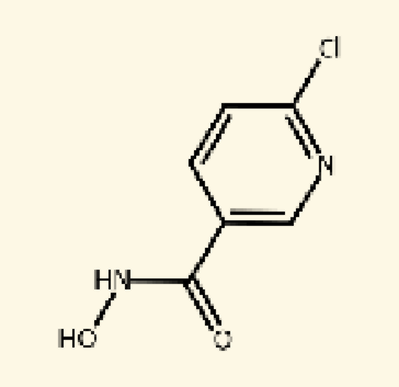 O=C(NO)c1ccc(Cl)nc1